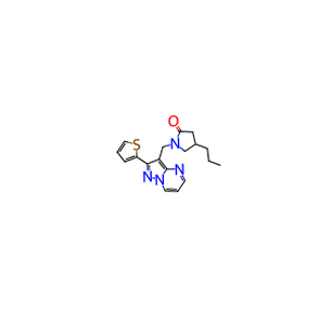 CCCC1CC(=O)N(Cc2c(-c3cccs3)nn3cccnc23)C1